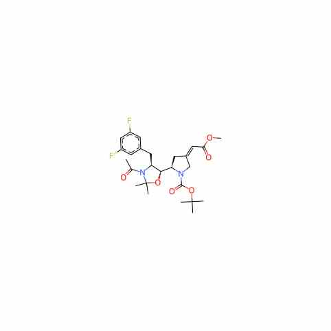 COC(=O)/C=C1/C[C@H]([C@H]2OC(C)(C)N(C(C)=O)[C@H]2Cc2cc(F)cc(F)c2)N(C(=O)OC(C)(C)C)C1